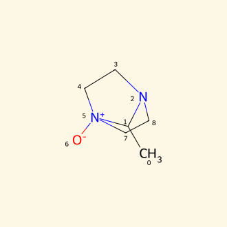 CC1N2CC[N+]1([O-])CC2